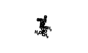 C=C(C)C(=O)OC([SiH3])CCC(N=C=O)(N=C=O)N=C=O